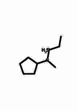 CC[SiH2]N(C)C1CCCC1